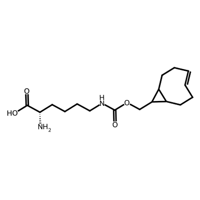 N[C@@H](CCCCNC(=O)OCC1C2CC/C=C/CCC21)C(=O)O